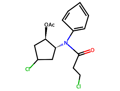 CC(=O)O[C@@H]1CC(Cl)C[C@H]1N(C(=O)CCCl)c1ccccc1